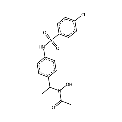 CC(=O)N(O)C(C)c1ccc(NS(=O)(=O)c2ccc(Cl)cc2)cc1